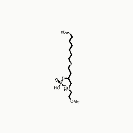 CCCCCCCCCCCCCCCCSCCC(COCCOC)OP(=O)(O)O